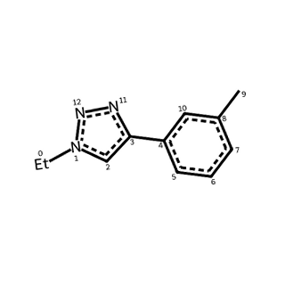 CCn1cc(-c2cccc(C)c2)nn1